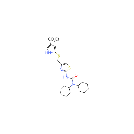 CCOC(=O)c1c[nH]c(SCc2csc(NC(=O)N(C3CCCCC3)C3CCCCC3)n2)c1